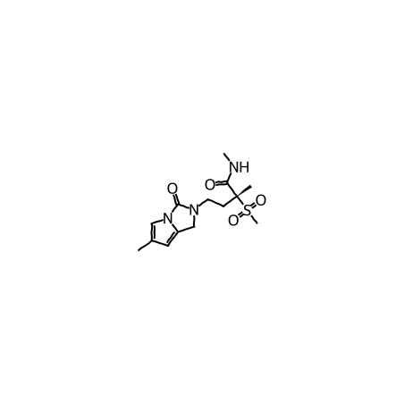 CNC(=O)[C@@](C)(CCN1Cc2cc(C)cn2C1=O)S(C)(=O)=O